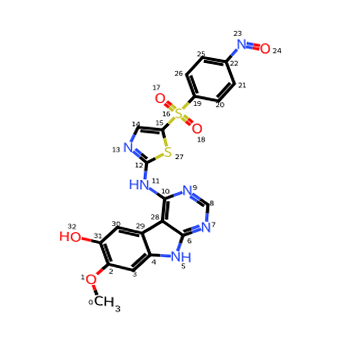 COc1cc2[nH]c3ncnc(Nc4ncc(S(=O)(=O)c5ccc(N=O)cc5)s4)c3c2cc1O